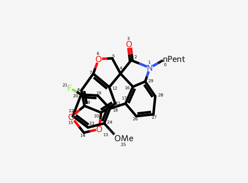 CCCCCN1C(=O)C2(COc3cc4c(cc32)OCO4)c2c(-c3cc(F)ccc3OC)cccc21